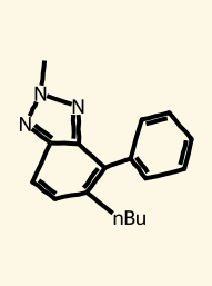 CCCCc1ccc2nn(C)nc2c1-c1ccccc1